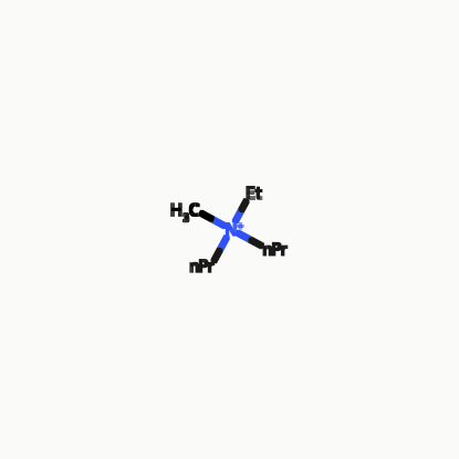 CCC[N+](C)(CC)CCC